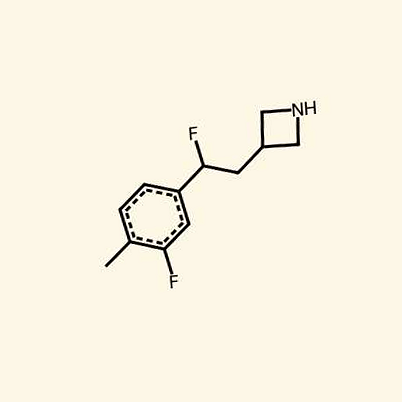 Cc1ccc(C(F)CC2CNC2)cc1F